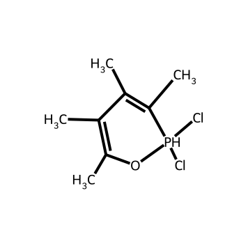 CC1=C(C)C(C)=C(C)[PH](Cl)(Cl)O1